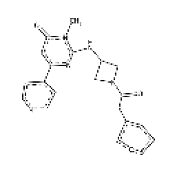 Cn1c(NC2CN(C(=O)Cc3ccccc3)C2)nc(-c2ccncc2)cc1=O